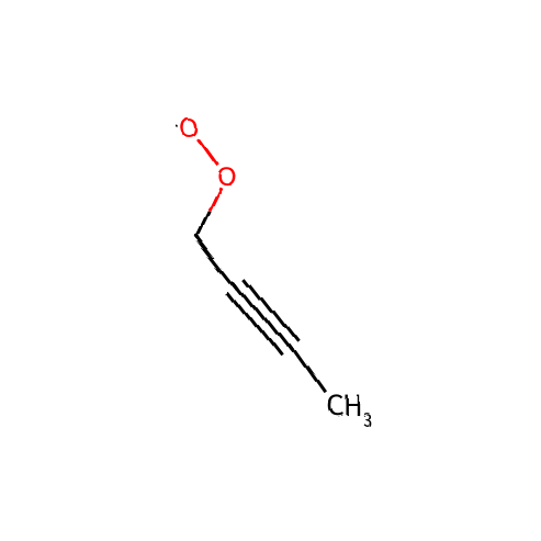 CC#CCO[O]